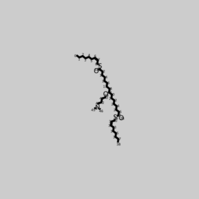 CCCCCC/C=C\CSC(=O)CCCCCCCC(CCCCCCCC(=O)SC/C=C\CCCCCC)OCCCCN(C)C